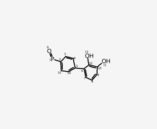 O=Pc1ccc(-c2cccc(O)c2O)cc1